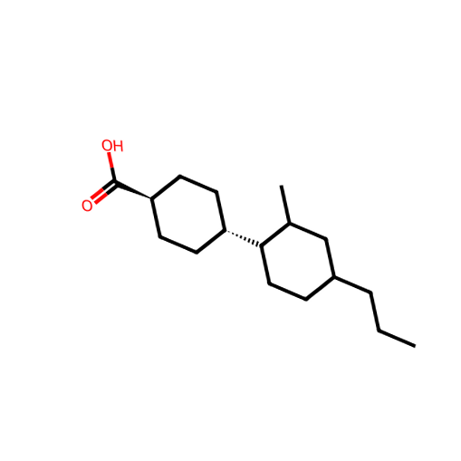 CCCC1CCC([C@H]2CC[C@H](C(=O)O)CC2)C(C)C1